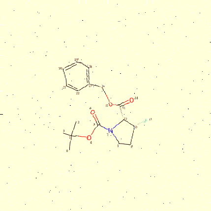 CC(C)(C)OC(=O)N1CC[C@@H](F)[C@H]1C(=O)OCc1ccccc1